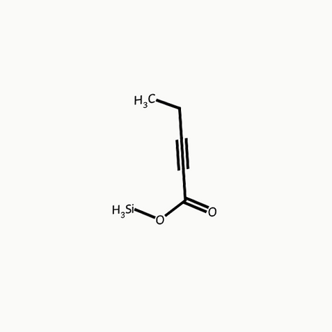 CCC#CC(=O)O[SiH3]